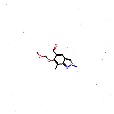 COCOc1c(C=O)cc2cn(C)nc2c1C